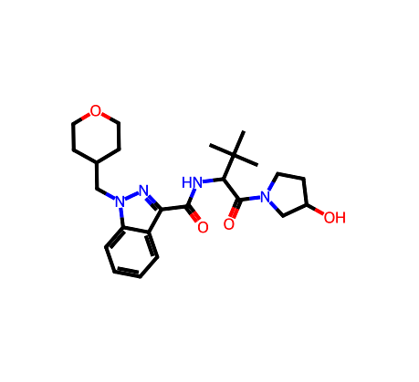 CC(C)(C)C(NC(=O)c1nn(CC2CCOCC2)c2ccccc12)C(=O)N1CCC(O)C1